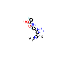 Cn1cc(C#N)c(-c2cnc(N)c(-c3ccc(C(=O)N[C@H](CO)c4cccc(F)c4)c(F)c3)c2)c1